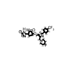 COc1cc(OCc2sc(-c3ccc(C(F)(F)F)cc3)nc2CN2CCC(F)CC2)ccc1-c1noc(=O)[nH]1